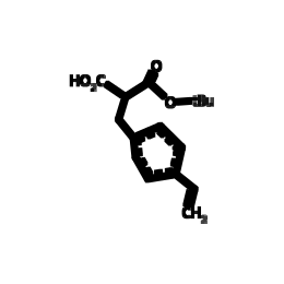 C=Cc1ccc(CC(C(=O)O)C(=O)OC(C)(C)C)cc1